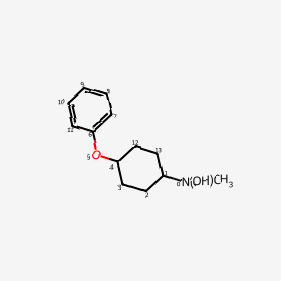 CN(O)C1CCC(Oc2ccccc2)CC1